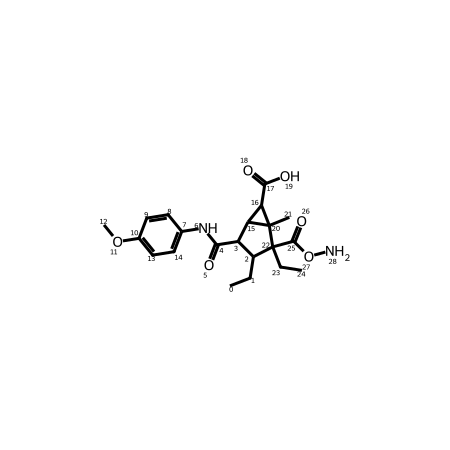 CCC1C(C(=O)Nc2ccc(OC)cc2)C2C(C(=O)O)C2(C)C1(CC)C(=O)ON